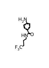 Nc1ccc(C(=O)NCCCC(F)(F)F)cc1